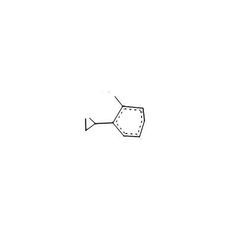 Oc1ccccc1C1CO1